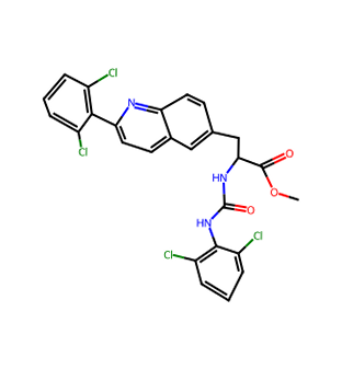 COC(=O)C(Cc1ccc2nc(-c3c(Cl)cccc3Cl)ccc2c1)NC(=O)Nc1c(Cl)cccc1Cl